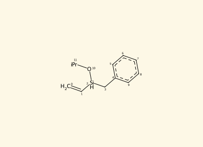 C=C[SiH](Cc1ccccc1)OC(C)C